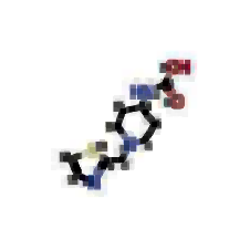 O=C(O)NC1CCN(Cc2nccs2)CC1